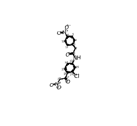 O=C(Cc1ccc([N+](=O)[O-])cc1)Nc1ccc(C(=O)C[N+](=O)[O-])c(Cl)c1